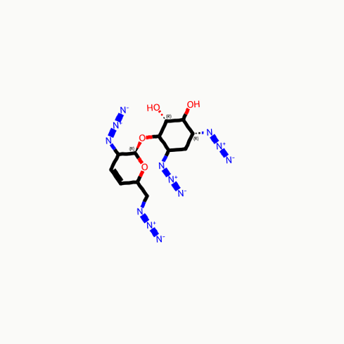 [N-]=[N+]=NCC1C=CC(N=[N+]=[N-])[C@@H](OC2C(N=[N+]=[N-])C[C@@H](N=[N+]=[N-])C(O)[C@H]2O)O1